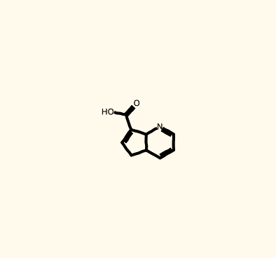 O=C(O)C1=CCC2C=CC=NC12